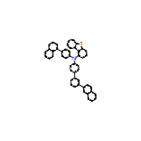 c1cc(-c2ccc(N(c3ccc(-c4cccc5ccccc45)cc3)c3cccc4sc5ccccc5c34)cc2)cc(-c2ccc3ccccc3c2)c1